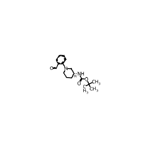 CC(C)(C)OC(=O)N[C@@H]1CCCN(c2ccccc2C=O)C1